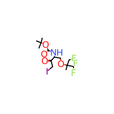 CC(C)(C)OC(=O)NC(COC(C)(CF)C(F)F)C(=O)CI